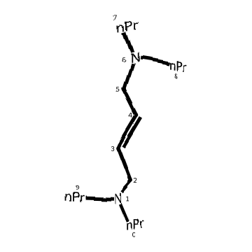 CCCN(C/C=C/CN(CCC)CCC)CCC